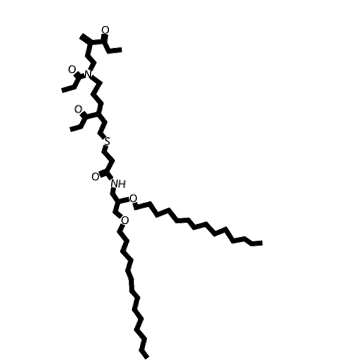 C=C(CCN(CCCC(CCSCCC(=O)NCC(COCCCCCCCCCCCCCC)OCCCCCCCCCCCCCC)C(=O)CC)C(=O)CC)C(=O)CC